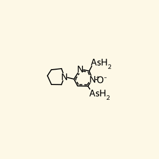 [O-][n+]1c([AsH2])cc(N2CCCCC2)nc1[AsH2]